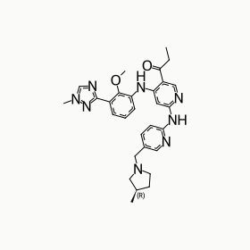 CCC(=O)c1cnc(Nc2ccc(CN3CC[C@@H](C)C3)cn2)cc1Nc1cccc(-c2ncn(C)n2)c1OC